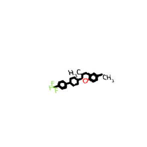 CCc1ccc2c(c1)CC(C)C(C1CCC(c3ccc(C(F)(F)F)cc3)CC1)O2